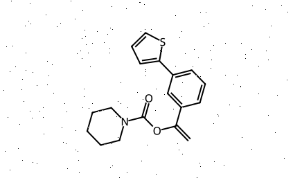 C=C(OC(=O)N1CCCCC1)c1cccc(-c2cccs2)c1